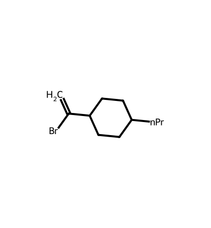 C=C(Br)C1CCC(CCC)CC1